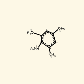 CC(=O)Nc1c(C)cc(OC(C)=O)cc1C